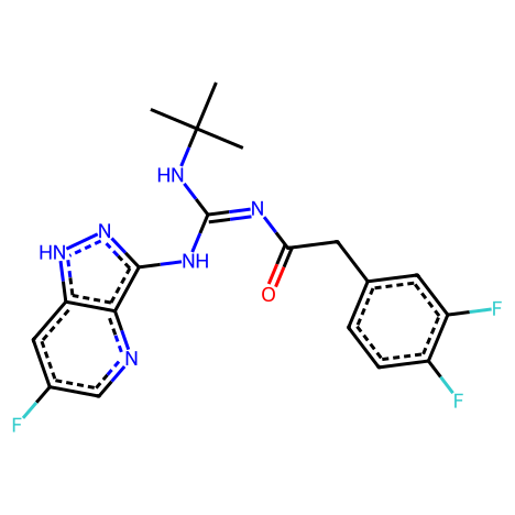 CC(C)(C)N/C(=N/C(=O)Cc1ccc(F)c(F)c1)Nc1n[nH]c2cc(F)cnc12